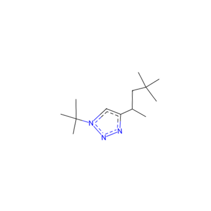 CC(CC(C)(C)C)c1cn(C(C)(C)C)nn1